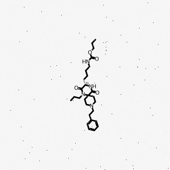 CCCOC(=O)NCCCC[C@@H]1NC(=O)C2(CCN(CCc3ccccc3)CC2)N(CCC)C1=O